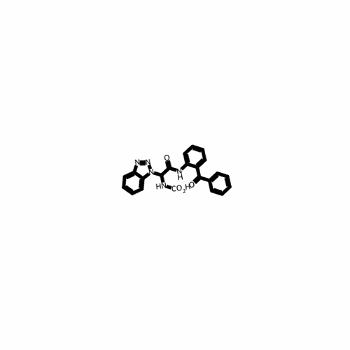 O=C(O)NC(C(=O)Nc1ccccc1C(=O)c1ccccc1)n1nnc2ccccc21